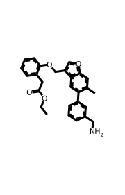 CCOC(=O)Cc1ccccc1OCc1coc2cc(C)c(-c3cccc(CN)c3)cc12